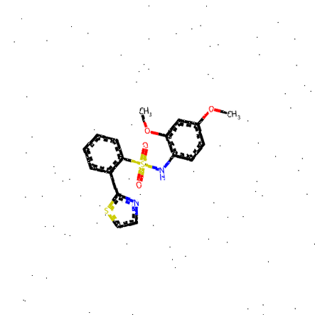 COc1ccc(NS(=O)(=O)c2ccccc2-c2nccs2)c(OC)c1